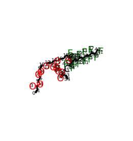 C=CC(=O)OCCOO/C=C\OCC(COCCCC(F)(OC(F)(/C(F)=C(F)/C(F)=C(F)/C(F)=C(F)/C(F)=C(\F)CF)C(F)(F)C(F)(F)F)C(F)(F)F)OOOOC(=O)C=C